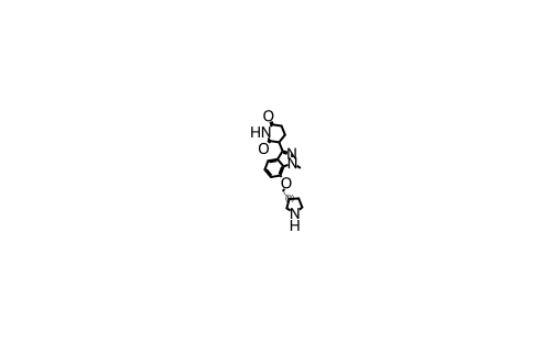 Cn1nc(C2CCC(=O)NC2=O)c2cccc(OC[C@@H]3CCNC3)c21